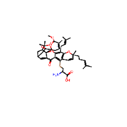 COC(=O)/C(C)=C\CC12OC(C)(C)C3CC(C=C4C(=O)c5c(c(CC=C(C)C)c6c(c5SCC(N)C(=O)O)C=CC(C)(CCC=C(C)C)O6)OC431)C2=O